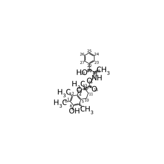 Cc1c(C)c2c(c(C)c1O)CC[C@](C)(C(=O)ON[C@H](C)[C@H](O)c1ccccc1)O2